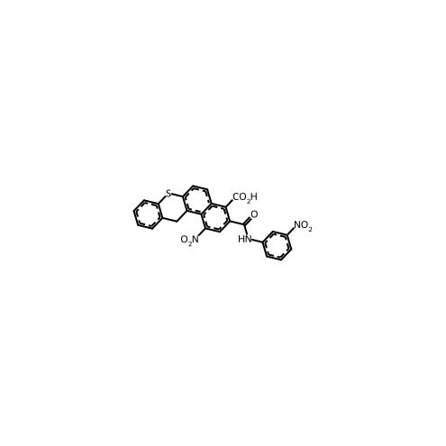 O=C(Nc1cccc([N+](=O)[O-])c1)c1cc([N+](=O)[O-])c2c3c(ccc2c1C(=O)O)Sc1ccccc1C3